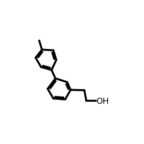 Cc1ccc(-c2cccc(CCO)c2)cc1